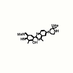 CN/C=C1/C=C(c2nc(C)c3cc(N4CCNC(C)(SC)C4)ccc3n2)C(O)=C(C)C1=N